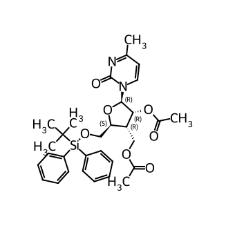 CC(=O)OC[C@H]1[C@@H](OC(C)=O)[C@H](n2ccc(C)nc2=O)O[C@@H]1CO[Si](c1ccccc1)(c1ccccc1)C(C)(C)C